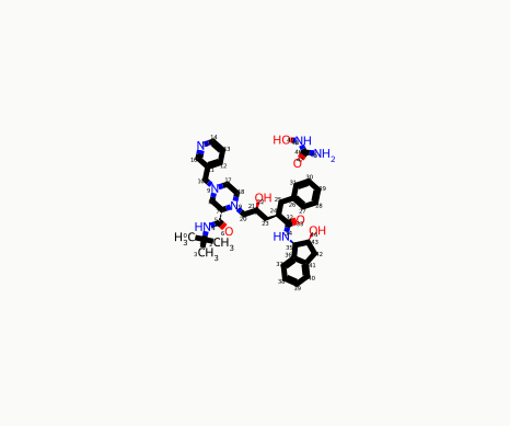 CC(C)(C)NC(=O)[C@@H]1CN(Cc2cccnc2)CCN1C[C@@H](O)C[C@@H](Cc1ccccc1)C(=O)N[C@H]1c2ccccc2C[C@H]1O.NC(=O)NO